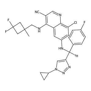 [2H]C(Nc1cc(Cl)c2ncc(C#N)c(NCC3(C)CC(F)(F)C3)c2c1)(c1ccc(F)cc1)c1cn(C2CC2)nn1